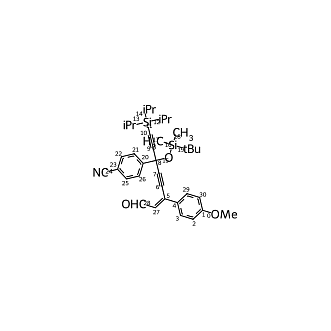 COc1ccc(/C(C#CC(C#C[Si](C(C)C)(C(C)C)C(C)C)(O[Si](C)(C)C(C)(C)C)c2ccc(C#N)cc2)=C/C=O)cc1